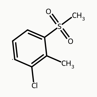 Cc1c(Cl)[c]ccc1S(C)(=O)=O